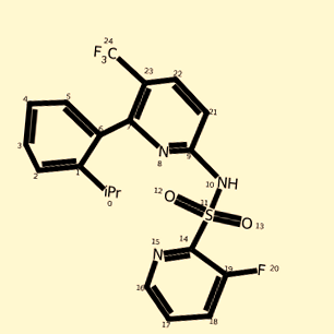 CC(C)c1ccccc1-c1nc(NS(=O)(=O)c2ncccc2F)ccc1C(F)(F)F